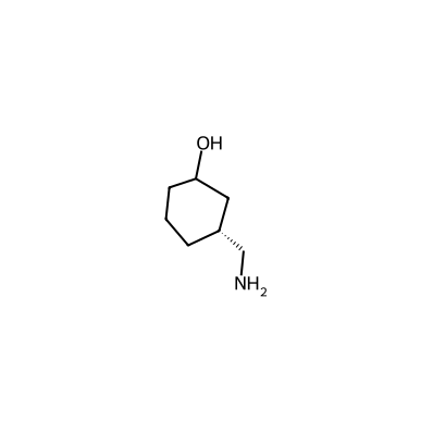 NC[C@@H]1CCCC(O)C1